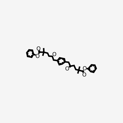 CC(C)(CCC(=O)Cc1ccc(CC(=O)CCC(C)(C)C(=O)Oc2ccccc2)cc1)C(=O)Oc1ccccc1